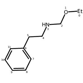 [CH2]COCNCCc1ccccc1